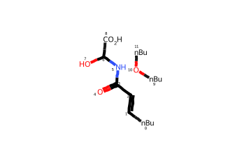 CCCCC=CC(=O)NC(O)C(=O)O.CCCCOCCCC